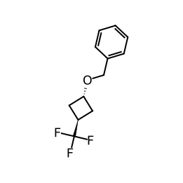 FC(F)(F)[C@H]1C[C@H](OCc2ccccc2)C1